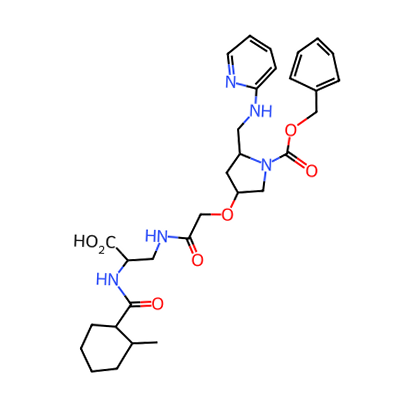 CC1CCCCC1C(=O)NC(CNC(=O)COC1CC(CNc2ccccn2)N(C(=O)OCc2ccccc2)C1)C(=O)O